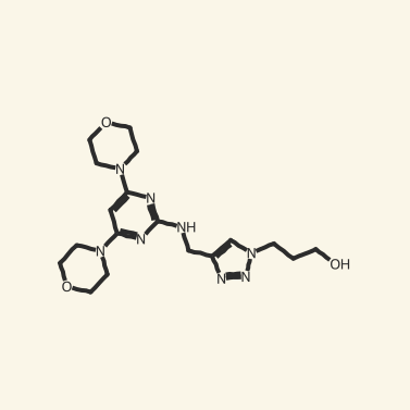 OCCCn1cc(CNc2nc(N3CCOCC3)cc(N3CCOCC3)n2)nn1